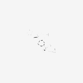 O=C(O)C(=CC1CCCC1)c1ccc(S(=O)(=O)CC2CC2)cc1